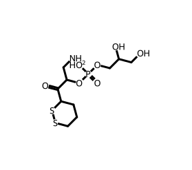 NCC(OP(=O)(O)OCC(O)CO)C(=O)C1CCCSS1